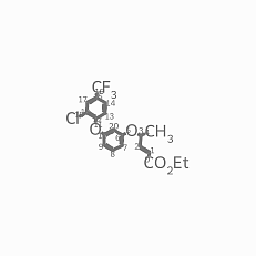 CCOC(=O)/C=C/C(C)Oc1cccc(Oc2ccc(C(F)(F)F)cc2Cl)c1